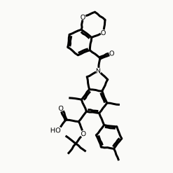 Cc1ccc(-c2c(C)c3c(c(C)c2C(OC(C)(C)C)C(=O)O)CN(C(=O)c2cccc4c2OCCO4)C3)cc1